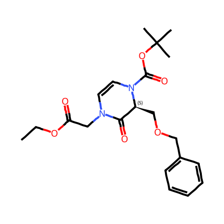 CCOC(=O)CN1C=CN(C(=O)OC(C)(C)C)[C@@H](COCc2ccccc2)C1=O